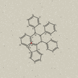 C1=C(C(c2ccccc2)C(c2ccccc2)P(c2ccccc2)c2ccccc2)c2ccccc2C1